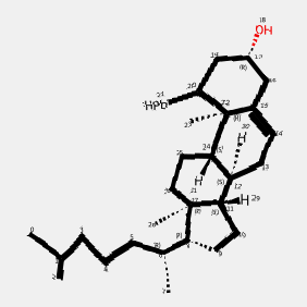 CC(C)CCC[C@@H](C)[C@H]1CC[C@H]2[C@@H]3CC=C4C[C@@H](O)C[CH]([PbH])[C@]4(C)[C@H]3CC[C@]12C